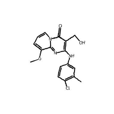 COc1cccn2c(=O)c(CO)c(Nc3ccc(Cl)c(C)c3)nc12